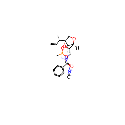 [C-]#[N+]CCOP(C)O[C@H]1[C@H]2OC[C@]1([C@@H](C)C=C)O[C@H]2CNC(=O)c1ccccc1